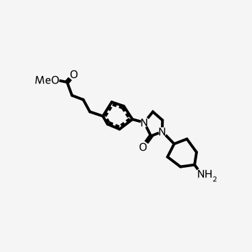 COC(=O)CCCc1ccc(N2CCN(C3CCC(N)CC3)C2=O)cc1